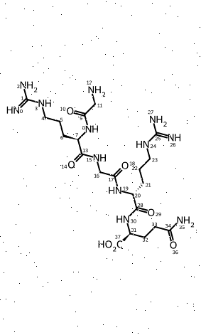 N=C(N)NCCC[C@@H](NC(=O)CN)C(=O)NCC(=O)N[C@H](CCCNC(=N)N)C(=O)N[C@@H](CCC(N)=O)C(=O)O